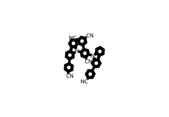 N#Cc1ccc(-c2ccc3c4ccccc4n(-c4cc(-c5cc(C#N)cc(C#N)c5)c(-n5c6ccccc6c6ccc(-c7ccc(C#N)cc7)cc65)cc4C#N)c3c2)cc1